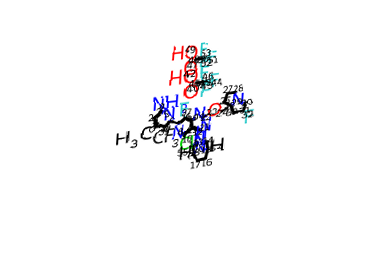 Cc1cc(N)nc(-c2nc(Cl)c3c(N4C[C@H]5CC[C@@H](C4)N5)nc(OC[C@@]45CCCN4C[C@H](F)C5)nc3c2F)c1C(F)(F)F.O=C(O)C(F)(F)F.O=C(O)C(F)(F)F